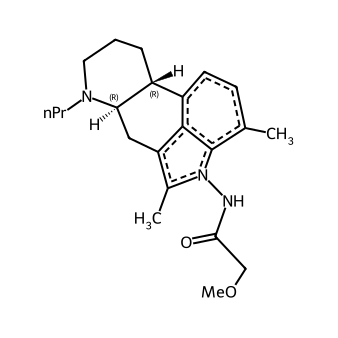 CCCN1CCC[C@@H]2c3ccc(C)c4c3c(c(C)n4NC(=O)COC)C[C@H]21